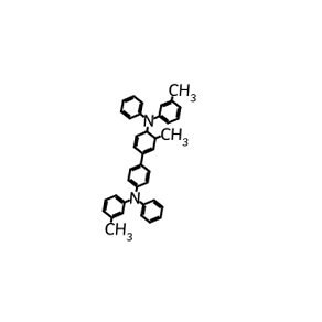 Cc1cccc(N(c2ccccc2)c2ccc(C3=CC(C)C(N(c4ccccc4)c4cccc(C)c4)C=C3)cc2)c1